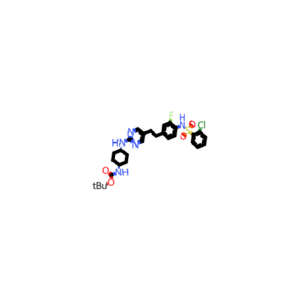 CC(C)(C)OC(=O)N[C@H]1CC[C@H](Nc2ncc(CCc3ccc(NS(=O)(=O)c4ccccc4Cl)c(F)c3)cn2)CC1